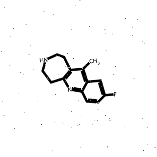 Cc1c2c(nc3ccc(F)cc13)CCNCC2